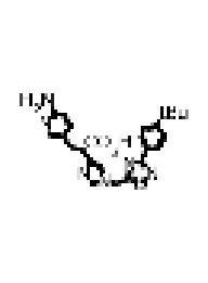 CC(C)(C)c1ccc(-c2noc(Cn3cnc(C(Cc4ccc(N)nc4)C(=O)O)c3)n2)cc1